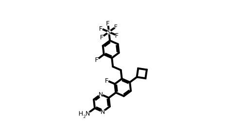 Nc1cnc(-c2ccc(C3CCC3)c(CCc3ccc(S(F)(F)(F)(F)F)cc3F)c2F)cn1